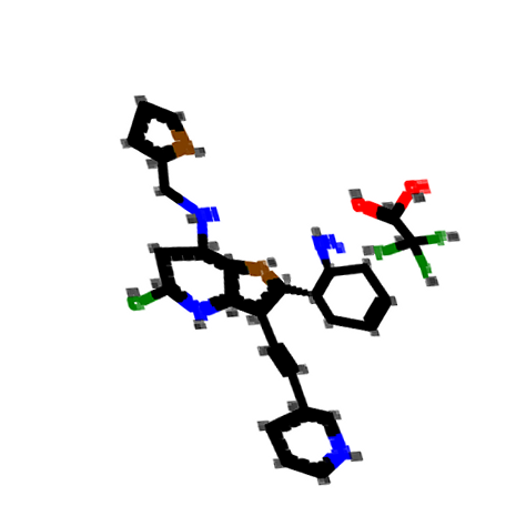 N[C@H]1CC=CC[C@@H]1c1sc2c(NCc3cccs3)cc(Cl)nc2c1C#Cc1cccnc1.O=C(O)C(F)(F)F